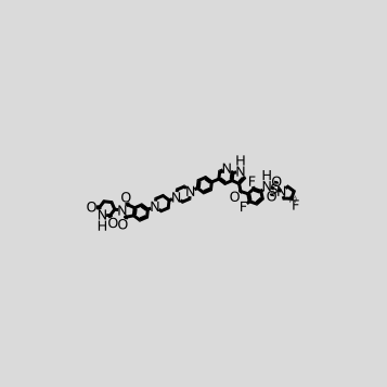 O=C1CCC(N2C(=O)c3ccc(N4CCC(N5CCN(c6ccc(-c7cnc8[nH]cc(C(=O)c9c(F)ccc(NS(=O)(=O)N%10CC[C@@H](F)C%10)c9F)c8c7)cc6)CC5)CC4)cc3C2=O)C(=O)N1